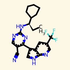 CC[C@@H](Nc1ncc(C#N)c(-c2c[nH]c3ncc(C(F)(F)F)cc23)n1)C1CCCCC1